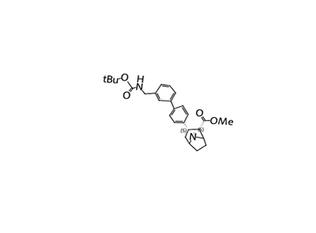 COC(=O)[C@@H]1C2CCC(C[C@@H]1c1ccc(-c3cccc(CNC(=O)OC(C)(C)C)c3)cc1)N2C